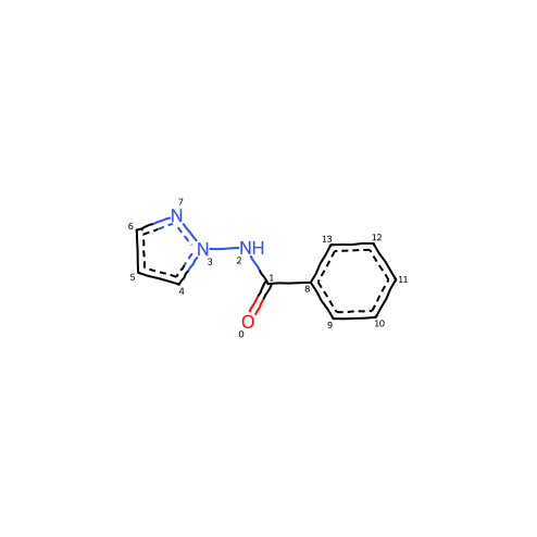 O=C(Nn1cc[c]n1)c1ccccc1